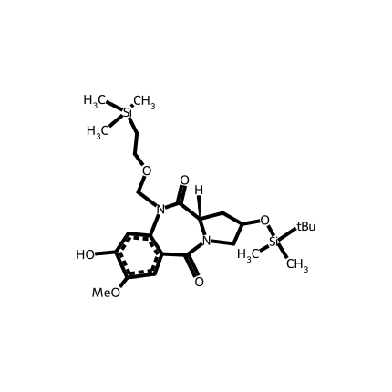 COc1cc2c(cc1O)N(COCC[Si](C)(C)C)C(=O)[C@@H]1CC(O[Si](C)(C)C(C)(C)C)CN1C2=O